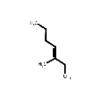 CCC/C=C(\C)CC